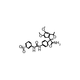 COc1cc(C(C)=O)c(C(C)(C(N)=O)c2ccc(NC(=O)Nc3cccc([N+](=O)[O-])c3)cc2)cc1OC